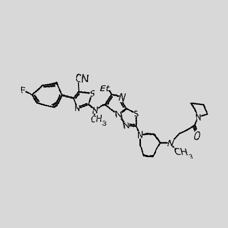 CCc1nc2sc(N3CCCC(N(C)CC(=O)N4CCC4)C3)nn2c1N(C)c1nc(-c2ccc(F)cc2)c(C#N)s1